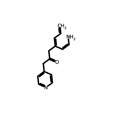 C=C/C=C(\C=C/N)CC(=O)Cc1ccncc1